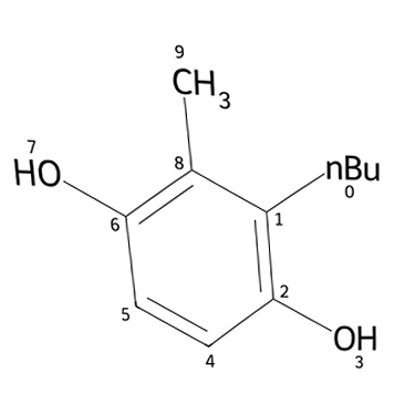 CCCCc1c(O)ccc(O)c1C